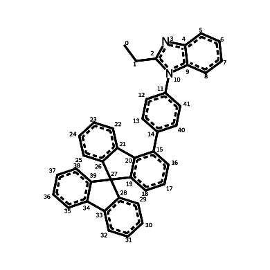 CCc1nc2ccccc2n1-c1ccc(-c2cccc3c2-c2ccccc2C32c3ccccc3-c3ccccc32)cc1